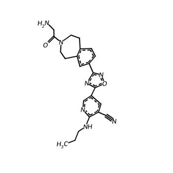 CCCNc1ncc(-c2nc(-c3ccc4c(c3)CCN(C(=O)CN)CC4)no2)cc1C#N